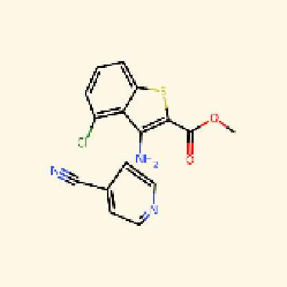 COC(=O)c1sc2cccc(Cl)c2c1N.N#Cc1ccncc1